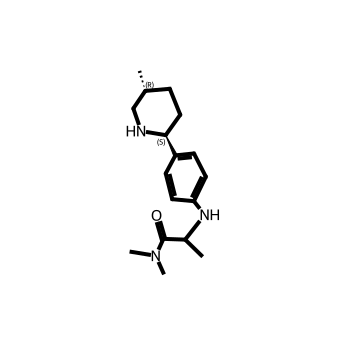 CC(Nc1ccc([C@@H]2CC[C@@H](C)CN2)cc1)C(=O)N(C)C